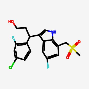 CS(=O)(=O)Cc1cc(F)cc2c(C(CCO)c3ccc(Cl)cc3F)c[nH]c12